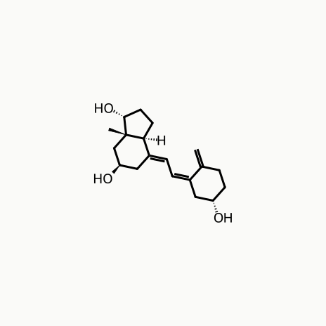 C=C1CC[C@H](O)C/C1=C/C=C1\C[C@@H](O)C[C@]2(C)[C@H](O)CC[C@@H]12